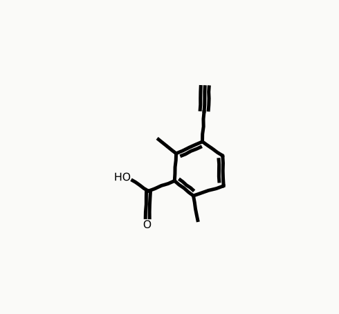 C#Cc1ccc(C)c(C(=O)O)c1C